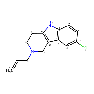 C=CCN1CCc2[nH]c3ccc(Cl)cc3c2C1